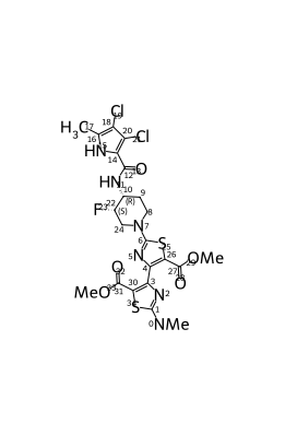 CNc1nc(-c2nc(N3CC[C@@H](NC(=O)c4[nH]c(C)c(Cl)c4Cl)[C@@H](F)C3)sc2C(=O)OC)c(C(=O)OC)s1